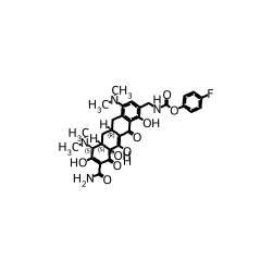 CN(C)c1cc(CNC(=O)Oc2ccc(F)cc2)c(O)c2c1C[C@H]1C[C@H]3[C@H](N(C)C)C(O)=C(C(N)=O)C(=O)[C@@]3(O)C(O)=C1C2=O